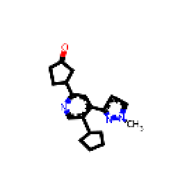 Cn1ccc(-c2cc(C3CCC(=O)C3)ncc2C2CCCC2)n1